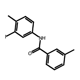 Cc1cccc(C(=O)Nc2ccc(C)c(I)c2)c1